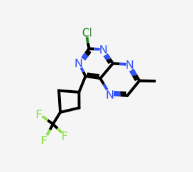 Cc1cnc2c(C3CC(C(F)(F)F)C3)nc(Cl)nc2n1